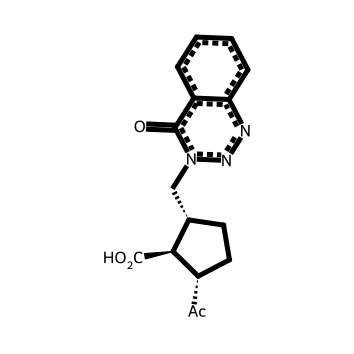 CC(=O)[C@H]1CC[C@@H](Cn2nnc3ccccc3c2=O)[C@@H]1C(=O)O